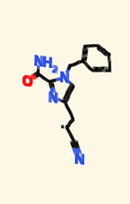 N#C[CH]Cc1cn(Cc2ccccc2)c(C(N)=O)n1